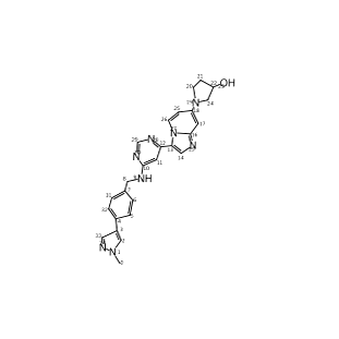 Cn1cc(-c2ccc(CNc3cc(-c4cnc5cc(N6CCC(O)C6)ccn45)ncn3)cc2)cn1